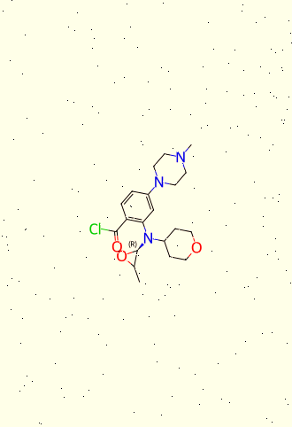 CC1O[C@H]1N(c1cc(N2CCN(C)CC2)ccc1C(=O)Cl)C1CCOCC1